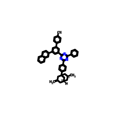 C=C1C[C@@H]2C[C@H](C)CC(c3ccc(-c4nc(-c5ccccc5)nc(-c5cc(-c6ccc(C#N)cc6)cc(-c6ccc7ccccc7c6)c5)n4)cc3)(C1)C2